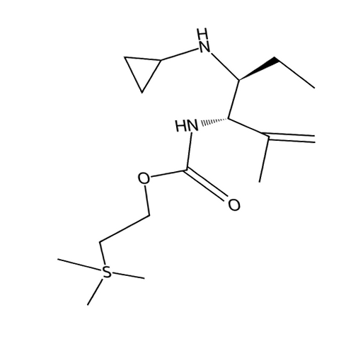 C=C(C)[C@H](NC(=O)OCCS(C)(C)C)[C@H](CC)NC1CC1